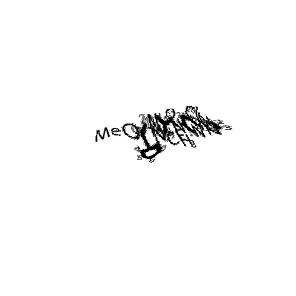 COC(C)c1ccccc1-n1ncc(C(=O)Nc2cnc(-n3nccn3)c(Cl)c2)c1C(F)(F)F